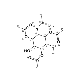 COC1C(OC(C)=O)C(O)C(OC(C)=O)C(OC(C)=O)C1OC(C)=O